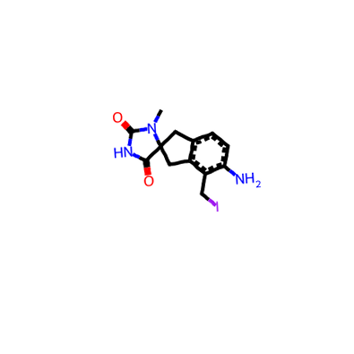 CN1C(=O)NC(=O)C12Cc1ccc(N)c(CI)c1C2